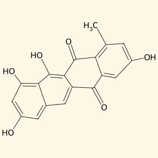 Cc1cc(O)cc2c1C(=O)c1c(cc3cc(O)cc(O)c3c1O)C2=O